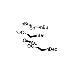 CC(=O)[O-].CCCCCCCCCCCC(=O)[O-].CCCCCCCCCCCC(=O)[O-].CCC[CH2][Sn+3][CH2]CCC